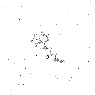 CC(C)NCC(O)COc1cccc2c1CCC2